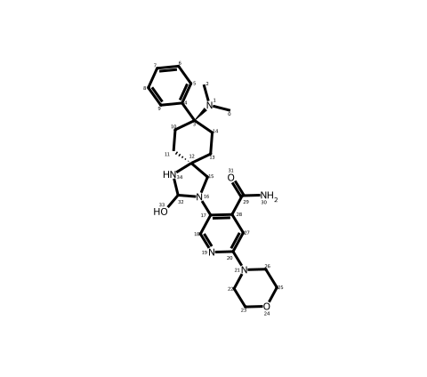 CN(C)[C@]1(c2ccccc2)CC[C@]2(CC1)CN(c1cnc(N3CCOCC3)cc1C(N)=O)C(O)N2